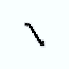 CCCCCCCCCC=CC=CC=CC(=O)O